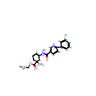 CCOC(=O)C1(C)CCCC(NC(=O)c2ccc(-c3cccc(F)c3)nc2)C1